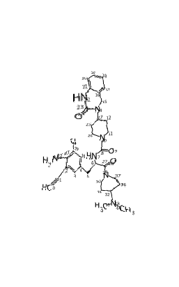 C#Cc1cc(C[C@@H](NC(=O)N2CCC(N3Cc4ccccc4NC3=O)CC2)C(=O)N2CCC(N(C)C)CC2)cc(Cl)c1N